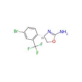 NC1=N[C@@H](c2ccc(Br)cc2C(F)(F)F)CO1